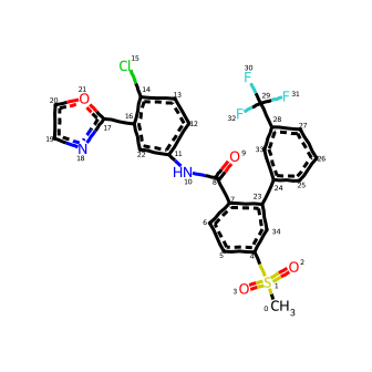 CS(=O)(=O)c1ccc(C(=O)Nc2ccc(Cl)c(-c3ncco3)c2)c(-c2cccc(C(F)(F)F)c2)c1